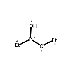 CCOP(O)CC